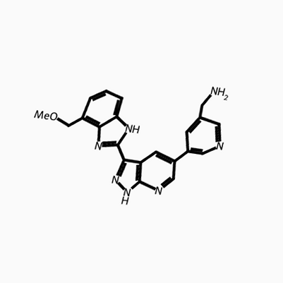 COCc1cccc2[nH]c(-c3n[nH]c4ncc(-c5cncc(CN)c5)cc34)nc12